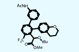 COC(=O)C(OC(C)(C)C)c1c(C(F)(F)F)ccc(-c2cccc(NC(C)=O)c2)c1-c1ccc2c(c1)CCCO2